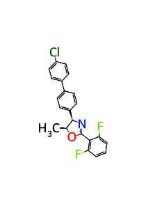 C[C@@H]1OC(c2c(F)cccc2F)=N[C@@H]1c1ccc(-c2ccc(Cl)cc2)cc1